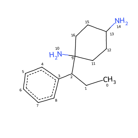 CCC(c1ccccc1)C1(N)CCC(N)CC1